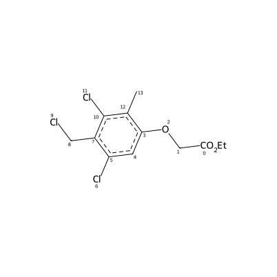 CCOC(=O)COc1cc(Cl)c(CCl)c(Cl)c1C